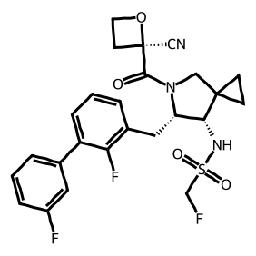 N#C[C@]1(C(=O)N2CC3(CC3)[C@H](NS(=O)(=O)CF)[C@@H]2Cc2cccc(-c3cccc(F)c3)c2F)CCO1